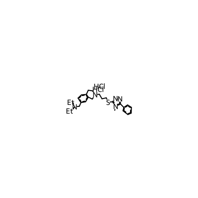 CCN(CC)Cc1ccc2c(c1)CN(CCCSc1nnc(-c3ccccc3)n1C)CC2.Cl.Cl